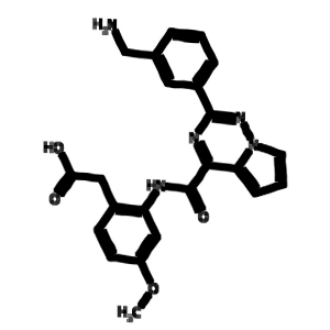 COc1ccc(CC(=O)O)c(NC(=O)c2nc(-c3cccc(CN)c3)nn3cccc23)c1